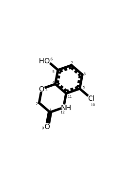 O=C1COc2c(O)ccc(Cl)c2N1